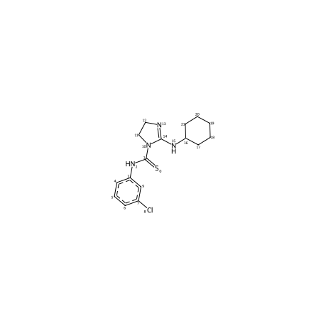 S=C(Nc1cccc(Cl)c1)N1CCN=C1NC1CCCCC1